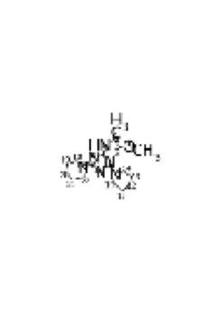 COCC(C)Nc1nc(N2CCCCC2)nc(N2CCCCC2)n1